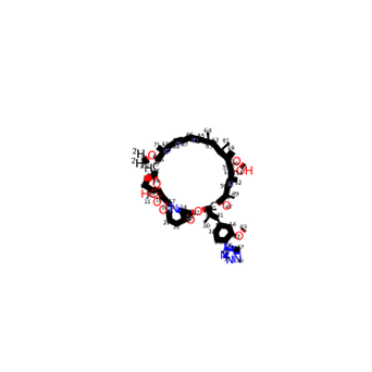 [2H]C([2H])([2H])O[C@H]1C[C@@H]2CC[C@@H](C)[C@@](O)(O2)C(=O)C(=O)N2CCCC[C@H]2C(=O)O[C@H]([C@H](C)C[C@@H]2CC[C@H](n3cnnn3)[C@H](OC)C2)CC(=O)[C@H](C)/C=C(\C)[C@@H](O)[C@@H](OC)C(=C)[C@H](C)C[C@H](C)/C=C/C=C/C=C/1C